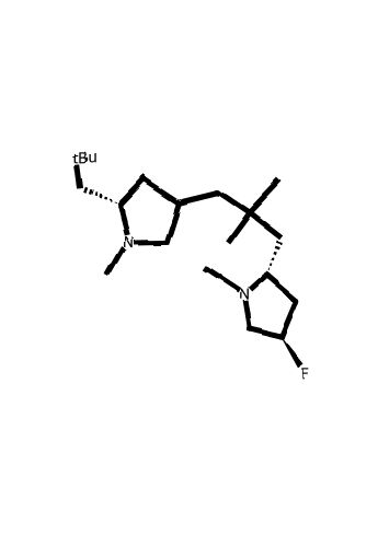 CN1CC(CC(C)(C)C[C@@H]2C[C@@H](F)CN2C)C[C@H]1CC(C)(C)C